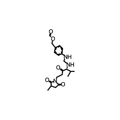 CC1CC(=O)N(CCC(=O)[C@@H](NCNc2ccc(COC=O)cc2)C(C)C)C1=O